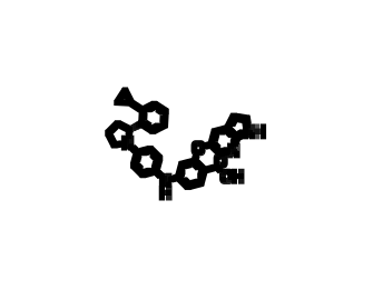 O=C(O)c1ccc(Nc2ccc(N3CCC[C@H]3c3ccccc3C3CC3)cc2)cc1Oc1cnc2[nH]ccc2c1